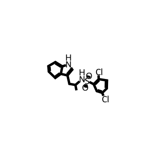 CC(Cc1c[nH]c2ccccc12)NS(=O)(=O)c1cc(Cl)ccc1Cl